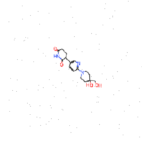 O=C1CCC(c2ccc(N3CCC(O)(CO)CC3)nc2)C(=O)N1